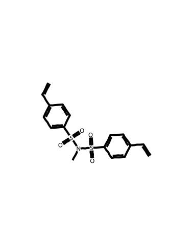 C=Cc1ccc(S(=O)(=O)N(C)S(=O)(=O)c2ccc(C=C)cc2)cc1